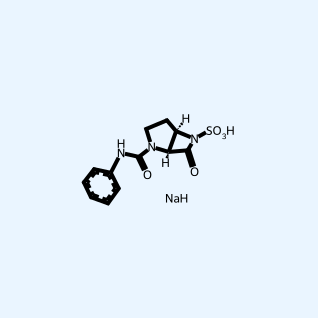 O=C(Nc1ccccc1)N1CC[C@@H]2[C@H]1C(=O)N2S(=O)(=O)O.[NaH]